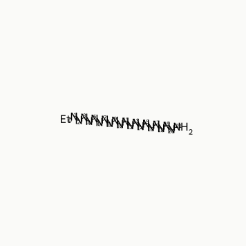 CCN=NN=NN=NN=NN=NN=NN=NN=NN=NN=NN